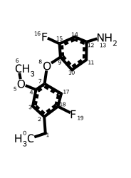 CCc1cc(OC)c(Oc2ccc(N)cc2F)cc1F